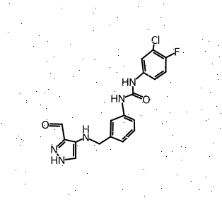 O=Cc1n[nH]cc1NCc1cccc(NC(=O)Nc2ccc(F)c(Cl)c2)c1